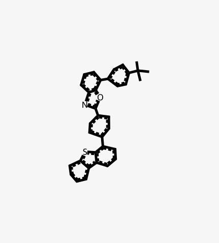 CC(C)(C)c1ccc(-c2cccc3nc(-c4ccc(-c5cccc6c5sc5ccccc56)cc4)oc23)cc1